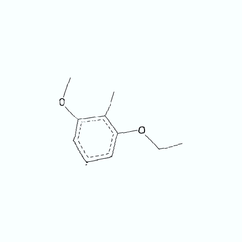 CCOc1c[c]cc(OC)c1C